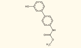 COC(=O)Nc1ccc(-c2cccc(O)c2)cc1